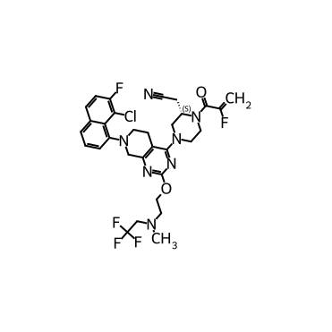 C=C(F)C(=O)N1CCN(c2nc(OCCN(C)CC(F)(F)F)nc3c2CCN(c2cccc4ccc(F)c(Cl)c24)C3)C[C@@H]1CC#N